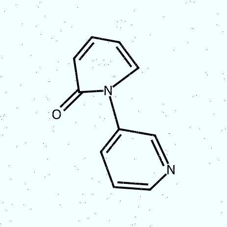 O=c1ccccn1-c1cccnc1